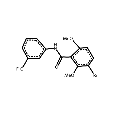 COc1ccc(Br)c(OC)c1C(=O)Nc1cccc(C(F)(F)F)c1